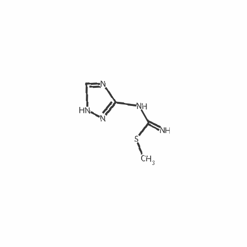 CSC(=N)Nc1nc[nH]n1